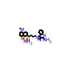 CN(C)c1cccc2c(S(N)(=O)=O)c(CCCCn3cnc4c(N)nc5ccccc5c43)ccc12